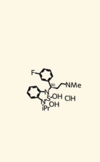 CNCC[C@H](c1cccc(F)c1)N1c2ccccc2N(C(C)C)S1(O)O.Cl